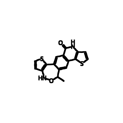 CC1ONc2ccsc2-c2cc3c(=O)[nH]c4ccsc4c3cc21